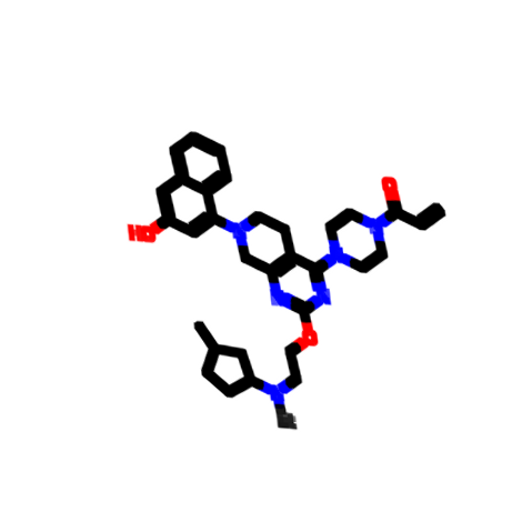 C=CC(=O)N1CCN(c2nc(OCCN(CC)C3CCC(C)C3)nc3c2CCN(c2cc(O)cc4ccccc24)C3)CC1